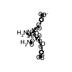 NC(=O)OC[C@@H]1[C@@H](NC(=O)/C(=N\OCC(=O)OCc2ccc([N+](=O)[O-])cc2)c2csc(N)n2)C(=O)N1OCC(=O)OCc1ccc([N+](=O)[O-])cc1